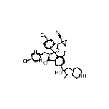 CCC(O)(CN1CCNCC1)c1cc(F)c2c(c1)C(=O)N(Cc1ncc(Cl)cn1)[C@@]2(OCC1(C#N)CC1)c1ccc(Cl)cc1